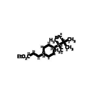 CCCC(C)(C)[Si](C)(C)N1CCN(CCC(=O)OCC)CC1